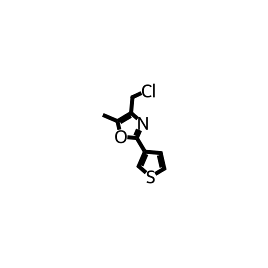 Cc1oc(-c2ccsc2)nc1CCl